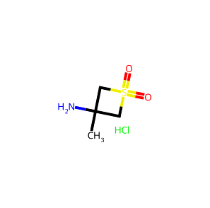 CC1(N)CS(=O)(=O)C1.Cl